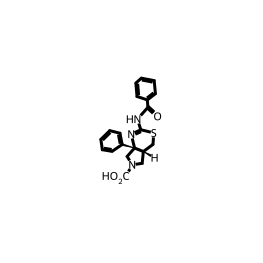 O=C(NC1=N[C@@]2(c3ccccc3)CN(C(=O)O)C[C@H]2CS1)c1ccccc1